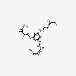 CCC1OC1CCCOc1nc(OCCC2OC2CC)nc(OCCC2OC2CC)n1